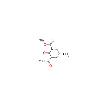 CC1CC(C(=O)C(C)(C)C)C(=O)N(C(=O)OC(C)(C)C)C1